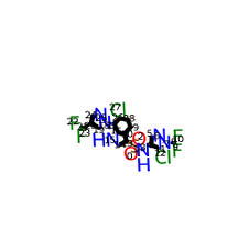 O=S(=O)(Nc1cnn(C(F)F)c1Cl)c1c[nH]c2c(-n3cc(C(F)F)cn3)c(Cl)ccc12